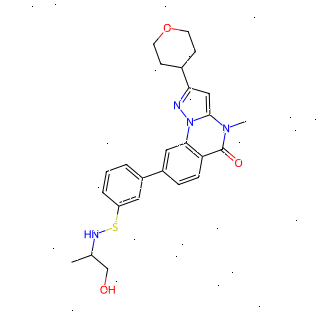 CC(CO)NSc1cccc(-c2ccc3c(=O)n(C)c4cc(C5CCOCC5)nn4c3c2)c1